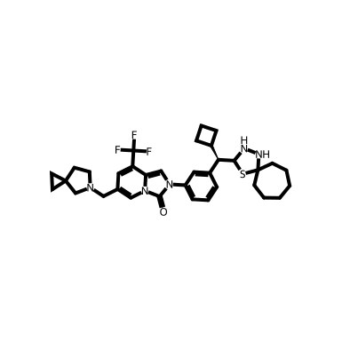 O=c1n(-c2cccc([C@@H](C3CCC3)C3NNC4(CCCCCC4)S3)c2)cc2c(C(F)(F)F)cc(CN3CCC4(CC4)C3)cn12